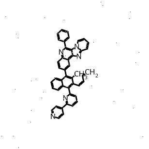 C=C/C=C\c1c(C)c(-c2ccc3nc(-c4ccccc4)c4c(nc5ccccn54)c3c2)c2ccccc2c1-c1cccc(-c2ccncc2)n1